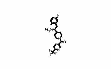 NC(Cc1cc(F)ccc1F)C1CCN(C(=O)c2ccc(C(F)(F)F)nc2)CC1